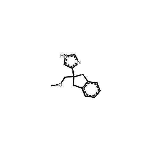 COCC1(c2c[nH]cn2)Cc2ccccc2C1